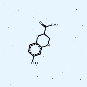 COC(=O)C1CNc2cc(C(=O)O)ccc2O1